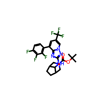 CC(C)(C)OC(=O)N1CC2CCC(C1)C2Nc1nc2c(-c3ccc(F)c(F)c3F)cc(C(F)(F)F)cn2n1